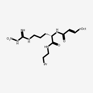 CCCCCCCCC=CC(=O)N[C@@H](CCCNC(=N)N[N+](=O)[O-])C(=O)NCCC(C)C